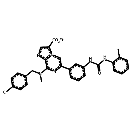 CCOC(=O)c1cnc2c(N(C)Cc3ccc(Cl)cc3)nc(-c3cccc(NC(=O)Nc4ccccc4C)c3)cn12